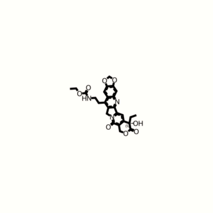 CCOC(=O)NCCc1c2c(nc3cc4c(cc13)OCO4)-c1cc3c(c(=O)n1C2)COC(=O)[C@]3(O)CC